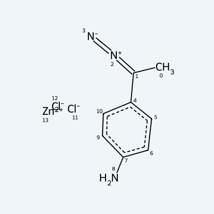 CC(=[N+]=[N-])c1ccc(N)cc1.[Cl-].[Cl-].[Zn+2]